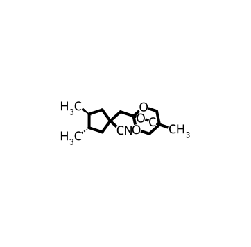 C[C@H]1CC(C#N)(CC23OCC(C)(CO2)CO3)C[C@@H]1C